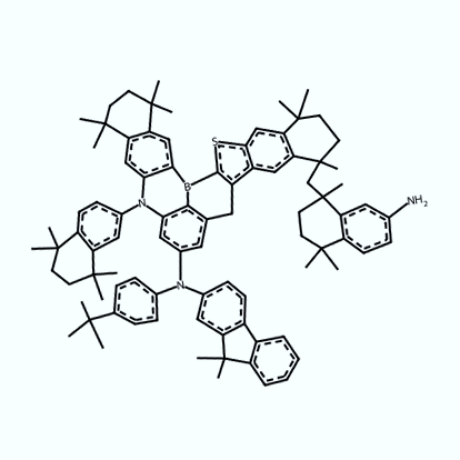 CC(C)(C)c1ccc(N(c2cc3c4c(c2)N(c2ccc5c(c2)C(C)(C)CCC5(C)C)c2cc5c(cc2B4c2sc4cc6c(cc4c2C3)C(C)(CC2(C)CCC(C)(C)c3ccc(N)cc32)CCC6(C)C)C(C)(C)CCC5(C)C)c2ccc3c(c2)C(C)(C)c2ccccc2-3)cc1